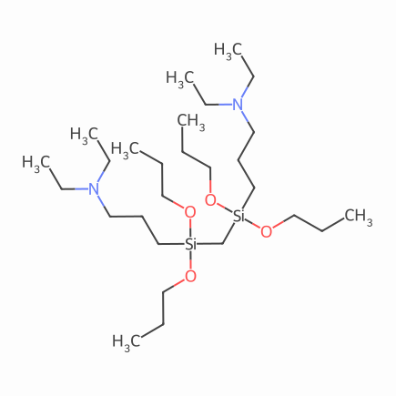 CCCO[Si](CCCN(CC)CC)(C[Si](CCCN(CC)CC)(OCCC)OCCC)OCCC